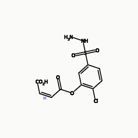 NNS(=O)(=O)c1ccc(Cl)c(OC(=O)/C=C\C(=O)O)c1